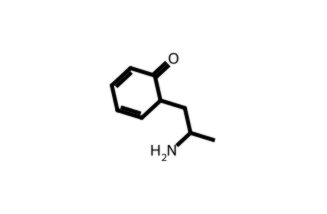 CC(N)CC1C=CC=CC1=O